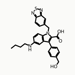 CCCCNc1ccc2c(c1)c(-c1ccc(CO)cc1)c(C(=O)O)n2Cc1ccc2nsnc2c1